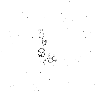 Cc1c(-c2cnc3[nH]cc([C@H](CF)c4c(OC(F)F)ccc(F)c4Cl)c3c2)cnn1C1CCC(O)CC1